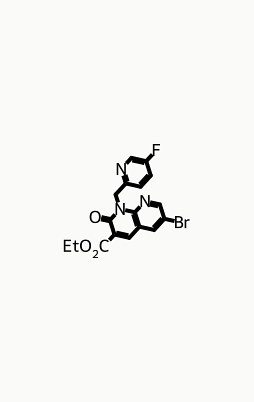 CCOC(=O)c1cc2cc(Br)cnc2n(Cc2ccc(F)cn2)c1=O